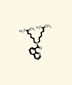 CC(C)CCCCCN(CCCCCC(C)C)C(=O)c1cccc2cccnc12